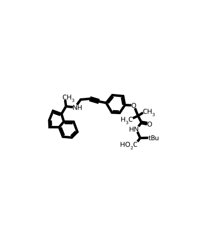 CC(NCC#Cc1ccc(OC(C)(C)C(=O)NC(C(=O)O)C(C)(C)C)cc1)c1cccc2ccccc12